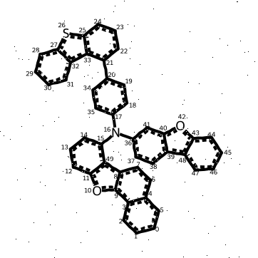 c1ccc2c(c1)ccc1c2oc2cccc(N(c3ccc(-c4cccc5sc6ccccc6c45)cc3)c3ccc4c(c3)oc3ccccc34)c21